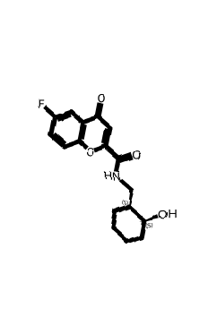 O=C(NC[C@@H]1CCCC[C@@H]1O)c1cc(=O)c2cc(F)ccc2o1